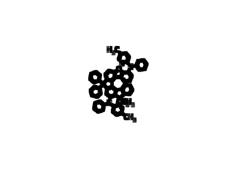 Cc1ccc(N(c2ccccc2)c2cc3c(c4c2C(C)(C)c2ccccc2-4)-c2c(ccc4oc5c(N(c6ccccc6)c6ccc(C)cn6)cccc5c24)C3(c2ccccc2)c2ccccc2)nc1